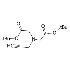 C#CCN(CC(=O)OC(C)(C)C)CC(=O)OC(C)(C)C